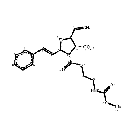 C=C[C@@H]1O[C@H](C=Cc2ccccc2)[C@@H](C(=O)OCCNC(=O)OC(C)(C)C)[C@H]1C(=O)O